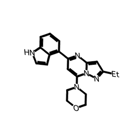 CCc1cc2nc(-c3cccc4[nH]ccc34)cc(N3CCOCC3)n2n1